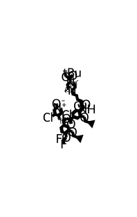 C[C@@H]1CN(CCCCS(=O)(=O)Nc2ccc(C(=O)O[C@@H](Cc3c(Cl)c[n+]([O-])cc3Cl)c3ccc(OC(F)F)c(OCC4CC4)c3)cc2OCC2CC2)[C@@H](C)CN1C(=O)OC(C)(C)C